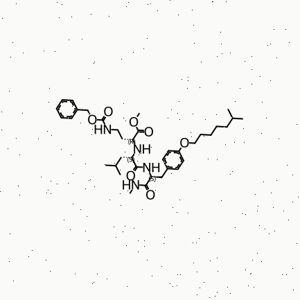 CNC(=O)[C@H](Cc1ccc(OCCCCCC(C)C)cc1)NC(=O)[C@H](CC(C)C)N[C@H](CCNC(=O)OCc1ccccc1)C(=O)OC